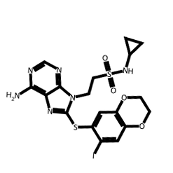 Nc1ncnc2c1nc(Sc1cc3c(cc1I)OCCO3)n2CCS(=O)(=O)NC1CC1